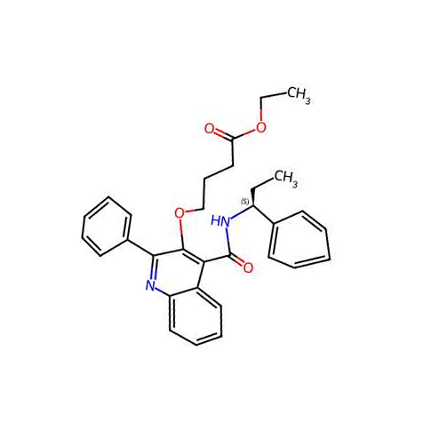 CCOC(=O)CCCOc1c(-c2ccccc2)nc2ccccc2c1C(=O)N[C@@H](CC)c1ccccc1